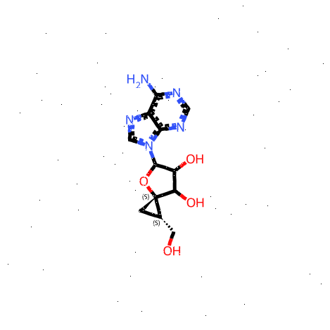 Nc1ncnc2c1ncn2C1O[C@]2(C[C@H]2CO)C(O)C1O